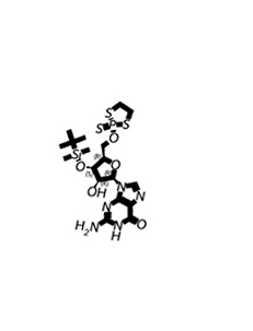 CC(C)(C)[Si](C)(C)O[C@H]1[C@@H](O)[C@H](n2cnc3c(=O)[nH]c(N)nc32)O[C@@H]1COP1(=S)SCCS1